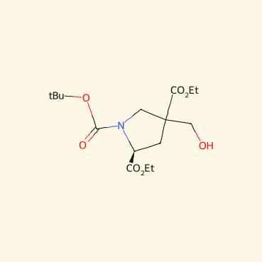 CCOC(=O)[C@@H]1CC(CO)(C(=O)OCC)CN1C(=O)OC(C)(C)C